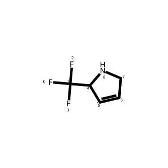 FC(F)(F)C1[C]=CCN1